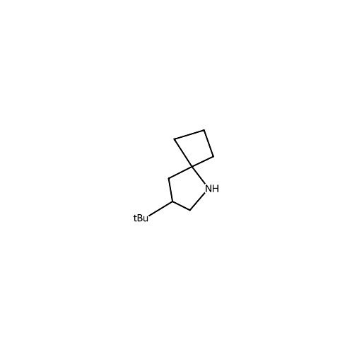 CC(C)(C)C1CNC2(CCC2)C1